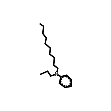 CCCCCCCCCCN(CCC)c1ccccc1